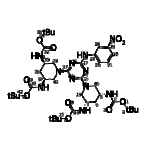 CC(C)(C)OC(=O)N[C@@H]1C[C@H](NC(=O)OC(C)(C)C)CN(c2nc(Nc3cccc([N+](=O)[O-])c3)nc(N3C[C@H](NC(=O)OC(C)(C)C)C[C@H](NC(=O)OC(C)(C)C)C3)n2)C1